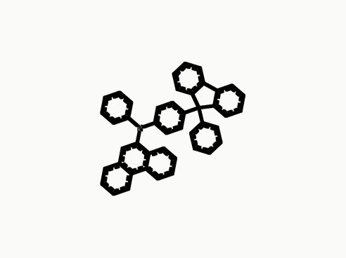 c1ccc(N(c2ccc(C3(c4ccccc4)c4ccccc4-c4ccccc43)cc2)c2cc3ccccc3c3ccccc23)cc1